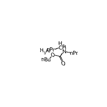 CCCC.CCCCOC(=O)NCCC.[AlH3]